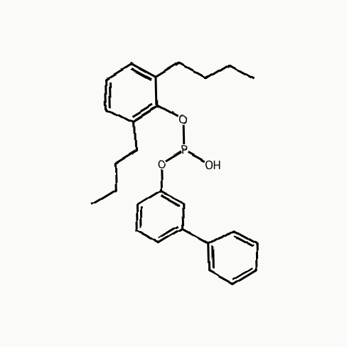 CCCCc1cccc(CCCC)c1OP(O)Oc1cccc(-c2ccccc2)c1